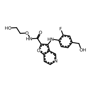 O=C(NOCCO)c1oc2ccncc2c1Nc1ccc(CO)cc1F